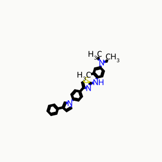 CCN(CC)c1ccc(Nc2nc(-c3ccc(-n4ccc(-c5ccccc5)c4)cc3)cs2)c(C)c1